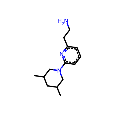 CC1CC(C)CN(c2cccc(CCN)n2)C1